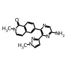 Cn1ccc(-c2nc(N)cnc2-c2ccc3c(=O)n(C)ccc3c2)n1